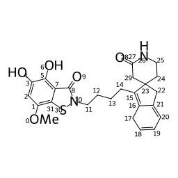 COc1cc(O)c(O)c2c(=O)n(CCCCC3=C4CC=CC=C4CC34CCNC(=O)C4)sc12